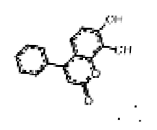 O=c1cc(-c2ccccc2)c2ccc(O)c(O)c2o1